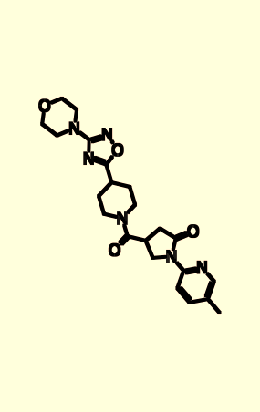 Cc1ccc(N2CC(C(=O)N3CCC(c4nc(N5CCOCC5)no4)CC3)CC2=O)nc1